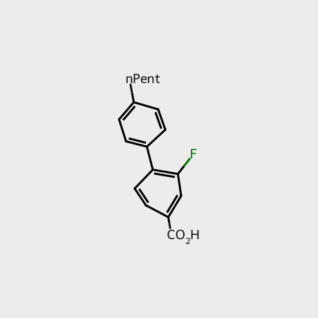 CCCCCc1ccc(-c2ccc(C(=O)O)cc2F)cc1